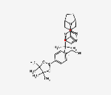 CC(C)(C)OC(=O)N1CC2CCC(C1)N2c1ncc(C(O)c2ccc(B3OC(C)(C)C(C)(C)O3)cc2)cn1